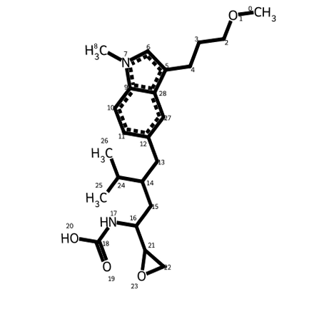 COCCCc1cn(C)c2ccc(CC(CC(NC(=O)O)C3CO3)C(C)C)cc12